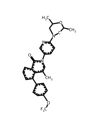 Cc1cn(-c2ccc(N3CC(C)OC(C)C3)nc2)c(=O)c2cccc(-c3ccc(OC(F)(F)F)cc3)c12